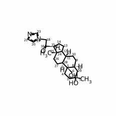 C[C@@]1(O)CC[C@@]2(CO)[C@@H](CC[C@H]3[C@@H]4CC[C@H](C(=O)Cn5ccnc5)[C@@]4(C)CC[C@@H]32)C1